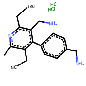 Cc1nc(CC(C)(C)C)c(CN)c(-c2ccc(CN)cc2)c1CC#N.Cl.Cl